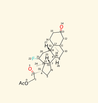 CC(=O)OCC(=O)[C@H]1CC[C@H]2[C@@H]3CCC4CC(=O)CC[C@]4(C)[C@H]3CC(F)[C@]12C